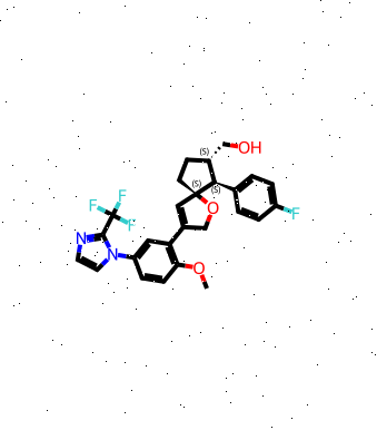 COc1ccc(-n2ccnc2C(F)(F)F)cc1C1=C[C@@]2(CC[C@H](CO)[C@H]2c2ccc(F)cc2)OC1